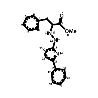 COC(=O)C(Cc1ccccc1)NNc1nc(-c2ccccc2)cs1